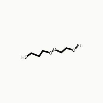 CCOCCOOCCCS